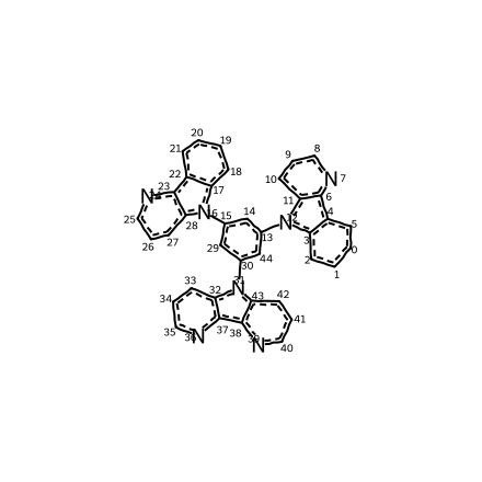 c1ccc2c(c1)c1ncccc1n2-c1cc(-n2c3ccccc3c3ncccc32)cc(-n2c3cccnc3c3ncccc32)c1